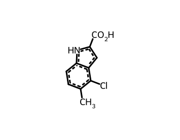 Cc1ccc2[nH]c(C(=O)O)cc2c1Cl